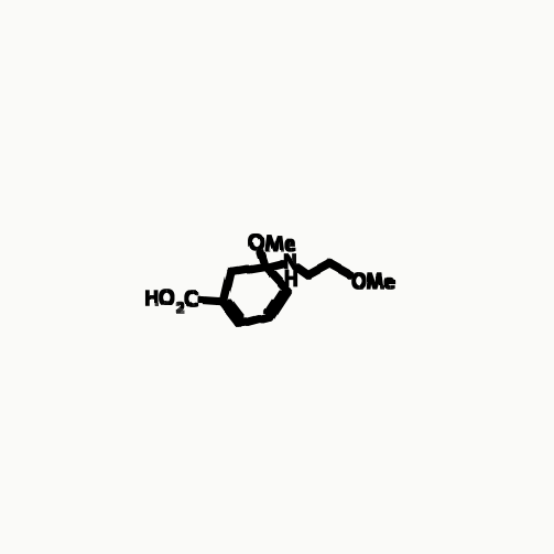 COCCNC1(OC)C=CC=C(C(=O)O)C1